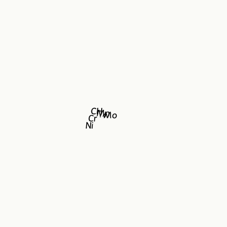 C.[Cr].[Mn].[Mo].[Ni]